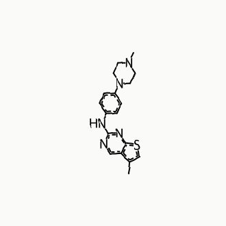 Cc1csc2nc(Nc3ccc(N4CCN(C)CC4)cc3)ncc12